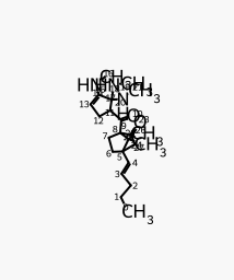 CCCC=CC12CCC(C(=O)C3CC=C(NC)C3(NC)NC)(C(=O)C1)C2(C)C